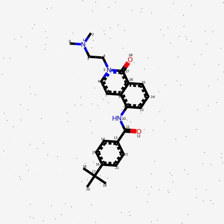 CN(C)CCn1ccc2c(NC(=O)c3ccc(C(C)(C)C)cc3)cccc2c1=O